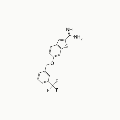 N=C(N)c1cc2ccc(OCc3cccc(C(F)(F)F)c3)cc2s1